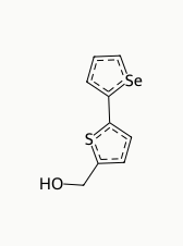 OCc1ccc(-c2ccc[se]2)s1